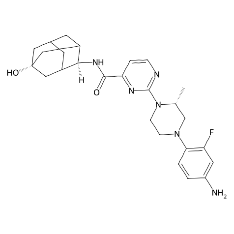 C[C@@H]1CN(c2ccc(N)cc2F)CCN1c1nccc(C(=O)N[C@H]2C3CC4CC2C[C@](O)(C4)C3)n1